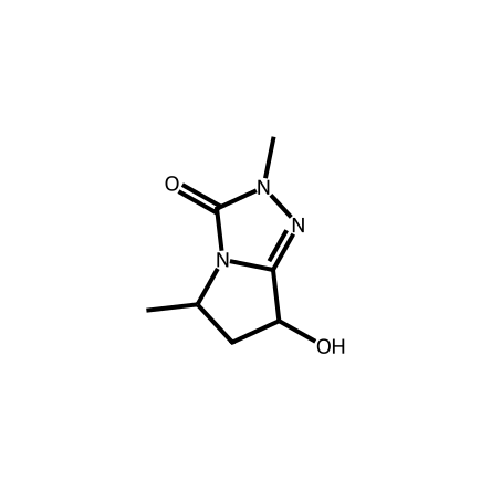 CC1CC(O)c2nn(C)c(=O)n21